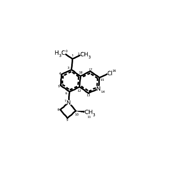 CC(C)c1ccc(N2CC[C@@H]2C)c2cnc(Cl)cc12